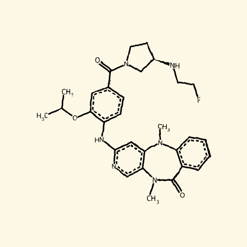 CC(C)Oc1cc(C(=O)N2CC[C@@H](NCCF)C2)ccc1Nc1cc2c(cn1)N(C)C(=O)c1ccccc1N2C